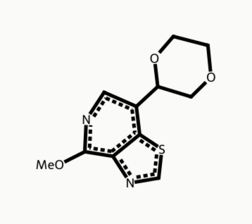 COc1ncc(C2COCCO2)c2scnc12